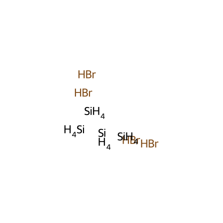 Br.Br.Br.Br.[SiH4].[SiH4].[SiH4].[SiH4]